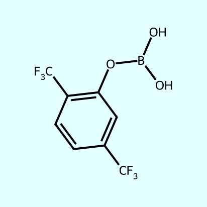 OB(O)Oc1cc(C(F)(F)F)ccc1C(F)(F)F